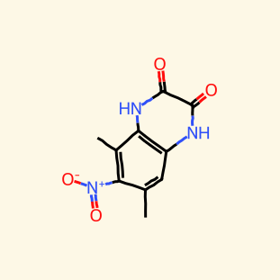 Cc1cc2[nH]c(=O)c(=O)[nH]c2c(C)c1[N+](=O)[O-]